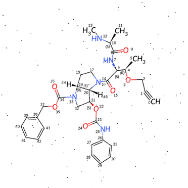 C#CCO[C@H](C)[C@H](NC(=O)[C@H](C)NC)C(=O)N1CC[C@@H]2[C@H]1[C@@H](OC(=O)Nc1ccccc1)CN2C(=O)OCc1ccccc1